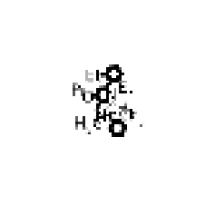 CCc1cccc(CC)c1-c1cc(OC(C)C)c(CN(C)Cc2ccccc2C(F)(F)F)c(C)n1